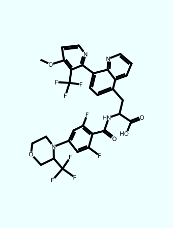 COc1ccnc(-c2ccc(CC(NC(=O)c3c(F)cc(N4CCOCC4C(F)(F)F)cc3F)C(=O)O)c3cccnc23)c1C(F)(F)F